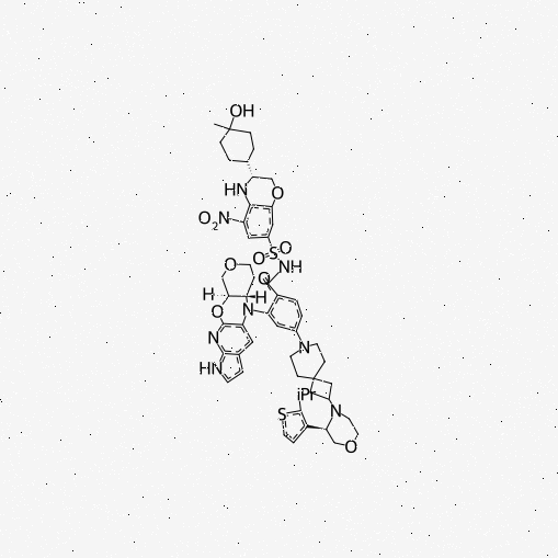 CC(C)c1sccc1[C@@H]1COCCN1C1CC2(CCN(c3ccc(C(=O)NS(=O)(=O)c4cc5c(c([N+](=O)[O-])c4)N[C@H](C4CCC(C)(O)CC4)CO5)c(N4c5cc6cc[nH]c6nc5O[C@H]5COCC[C@@H]54)c3)CC2)C1